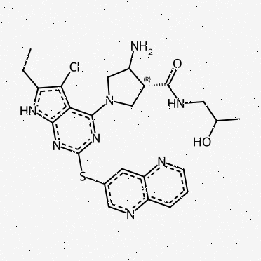 CCc1[nH]c2nc(Sc3cnc4cccnc4c3)nc(N3CC(N)[C@H](C(=O)NCC(C)O)C3)c2c1Cl